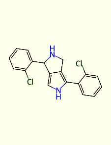 Clc1ccccc1-c1[nH]cc2c1CNC2c1ccccc1Cl